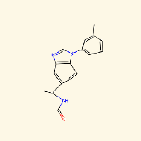 Cc1cccc(-n2cnc3cc(C(C)NC=O)ccc32)c1